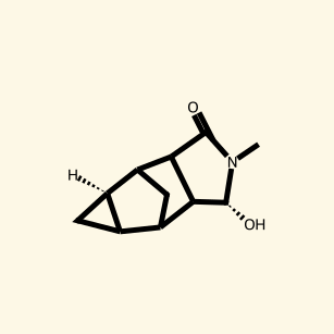 CN1C(=O)C2C3CC(C4C[C@H]43)C2[C@H]1O